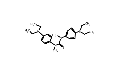 CCN(CC)c1ccc(N(C)C(=S)N(C)c2ccc(N(CC)CC)cc2)cc1